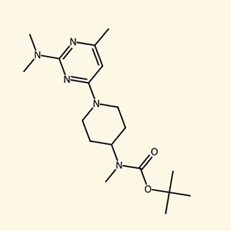 Cc1cc(N2CCC(N(C)C(=O)OC(C)(C)C)CC2)nc(N(C)C)n1